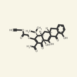 C#COC(=O)COC1=C(C(N)=O)C(=O)[C@@]2(O)C(O)=C3C(=O)c4c(O)cccc4C[C@H]3C[C@H]2[C@@H]1N(C)C